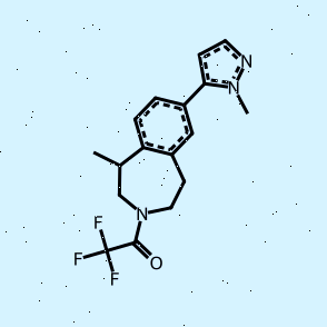 CC1CN(C(=O)C(F)(F)F)CCc2cc(-c3ccnn3C)ccc21